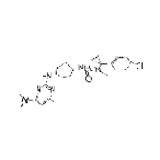 Cc1cc(N(C)C)nc(N[C@H]2CC[C@@H](NC(=O)N(C)C3(c4ccc(Cl)cc4)CC3)CC2)n1